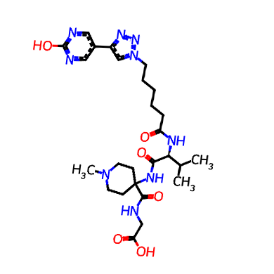 CC(C)[C@H](NC(=O)CCCCCn1cc(-c2cnc(O)nc2)nn1)C(=O)NC1(C(=O)NCC(=O)O)CCN(C)CC1